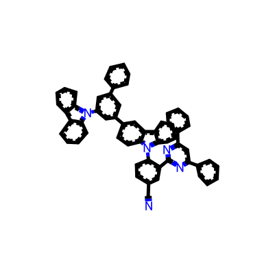 N#Cc1ccc(-n2c3ccccc3c3cc(-c4cc(-c5ccccc5)cc(-n5c6ccccc6c6ccccc65)c4)ccc32)c(-c2nc(-c3ccccc3)cc(-c3ccccc3)n2)c1